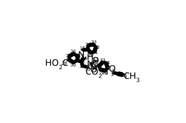 CC#CCOc1ccc(S(=O)(=O)NC(Cc2cn(Cc3ccccc3)c3ccc(C(=O)O)cc23)C(=O)O)cc1